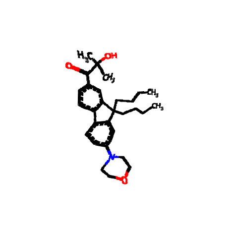 CCCCC1(CCCC)c2cc(C(=O)C(C)(C)O)ccc2-c2ccc(N3CCOCC3)cc21